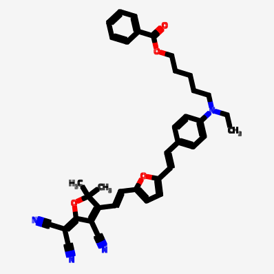 CCN(CCCCCOC(=O)c1ccccc1)c1ccc(/C=C/c2ccc(/C=C/C3=C(C#N)C(=C(C#N)C#N)OC3(C)C)o2)cc1